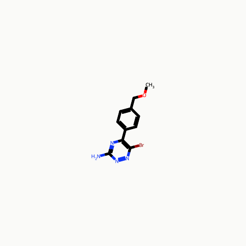 COCc1ccc(-c2nc(N)nnc2Br)cc1